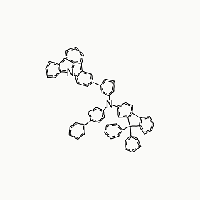 c1ccc(-c2ccc(N(c3cccc(-c4ccc5c(c4)c4cccc6c7ccccc7n5c64)c3)c3ccc4c(c3)C(c3ccccc3)(c3ccccc3)c3ccccc3-4)cc2)cc1